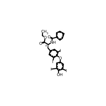 CCOC(=O)[C@H](Cc1cc(I)c(Oc2cc(I)c(O)c(I)c2)c(I)c1)NC(=O)c1ccccc1